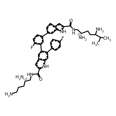 CC(C)C(N)CC[C@H](N)CNC(=O)c1cc2ccc(-c3ccc(F)c(-c4cc5cc(C(=O)NC[C@@H](N)CCCN)[nH]c5cc4-c4ccc(F)cc4)c3)cc2[nH]1